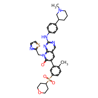 Cc1ccc(S(=O)(=O)C2CCOCC2)cc1-c1cc2cnc(Nc3ccc(C4CCCN(C)C4)cc3)nc2n(Cc2nccs2)c1=O